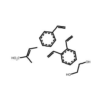 C=Cc1ccccc1.C=Cc1ccccc1C=C.CC=C(C)C(=O)O.OCCO